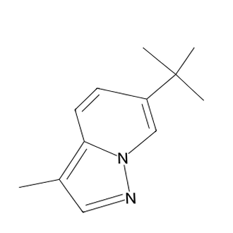 Cc1cnn2cc(C(C)(C)C)ccc12